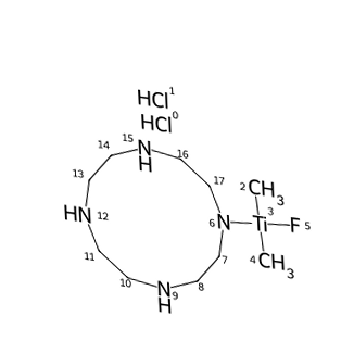 Cl.Cl.[CH3][Ti]([CH3])([F])[N]1CCNCCNCCNCC1